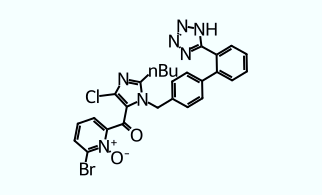 CCCCc1nc(Cl)c(C(=O)c2cccc(Br)[n+]2[O-])n1Cc1ccc(-c2ccccc2-c2nnn[nH]2)cc1